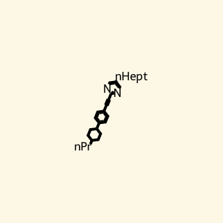 CCCCCCCc1cnc(C#Cc2ccc(C3CCC(CCC)CC3)cc2)nc1